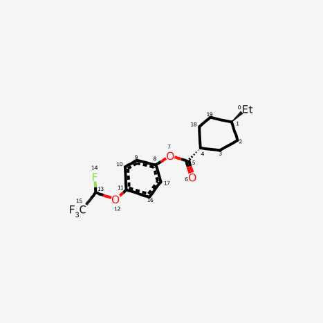 CC[C@H]1CC[C@H](C(=O)Oc2ccc(OC(F)C(F)(F)F)cc2)CC1